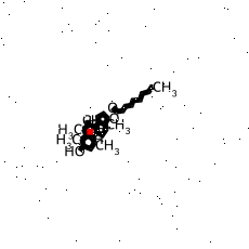 CCCCCCCCCC(=O)OC1CC[C@H]2[C@@H]3C(C)C(C)C4=C(C)C(O)CC(C)[C@]4(C=O)[C@@H]3CC[C@]12C